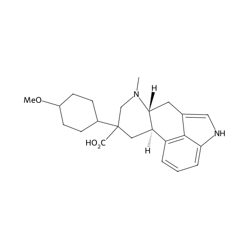 COC1CCC(C2(C(=O)O)C[C@@H]3c4cccc5[nH]cc(c45)C[C@H]3N(C)C2)CC1